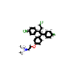 CN(C)CCOc1ccc(/C(=C(/CCCl)c2ccc(Cl)cc2)c2ccc(Cl)cc2)cc1